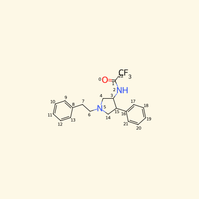 O=C(NC1CN(CCc2ccccc2)CC1c1ccccc1)C(F)(F)F